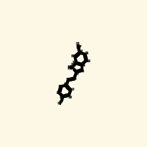 Fc1ccc(C=Cc2cc3ccc(Br)cc3[nH]2)cc1